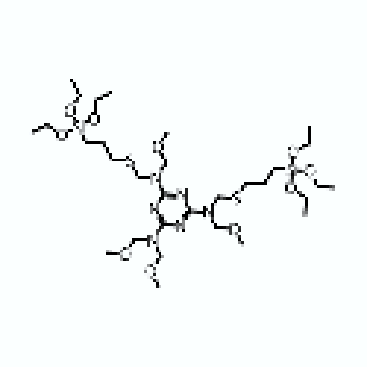 CCO[Si](CCCSCN(COC)c1nc(N(COC)COC)nc(N(COC)CSCCC[Si](OCC)(OCC)OCC)n1)(OCC)OCC